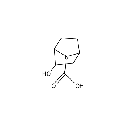 O=C(O)N1C2CCC1C(O)C2